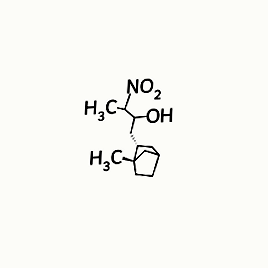 CC(C(O)C[C@@H]1CC2CC[C@@]1(C)C2)[N+](=O)[O-]